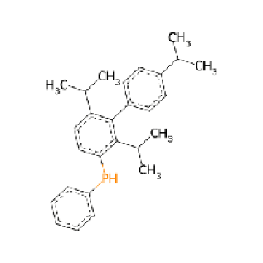 CC(C)c1ccc(-c2c(C(C)C)ccc(Pc3ccccc3)c2C(C)C)cc1